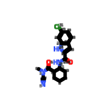 CN(C#N)C(=O)C1CCCCC1NC(=O)c1cc2ccc(Cl)cc2[nH]1